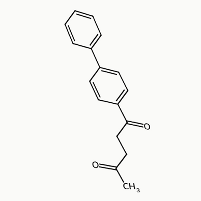 CC(=O)CCC(=O)c1ccc(-c2ccccc2)cc1